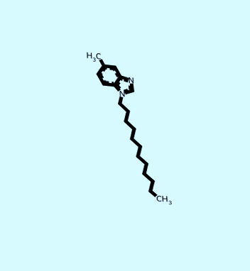 CCCCCCCCCCCCn1cnc2cc(C)ccc21